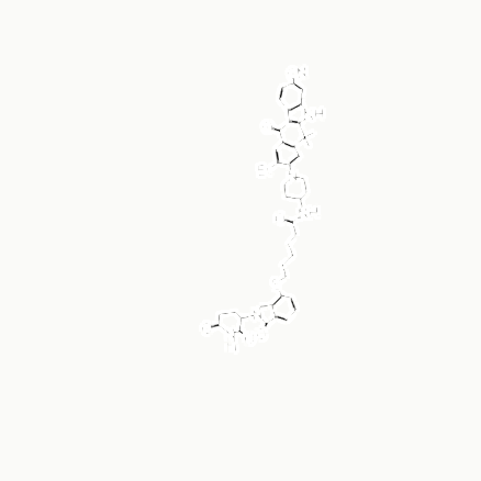 CCc1cc2c(cc1N1CCC(NC(=O)CCCCCSc3cccc4c3CN(C3CCC(=O)NC3=O)C4=O)CC1)C(C)(C)c1[nH]c3cc(C#N)ccc3c1C2=O